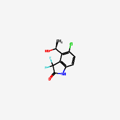 C[C@H](O)c1c(Cl)ccc2c1C(F)(F)C(=O)N2